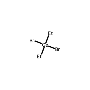 C[CH2][Ge]([Br])([Br])[CH2]C